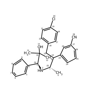 C[C@H](N[C@@H](c1ccccc1)C(C)(C)O)C(Cc1ccc(Cl)cc1)c1cccc(C#N)c1